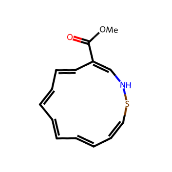 COC(=O)C1=C\NS\C=C/C=C/C=C/C=C/C=C/1